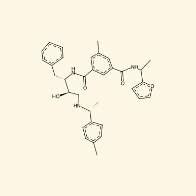 Cc1ccc([C@@H](C)NC[C@@H](O)[C@H](Cc2ccccc2)NC(=O)c2cc(C)cc(C(=O)NC(C)c3ccco3)c2)cc1